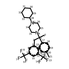 [CH2]C(Cc1cc(C(F)(F)F)cc(C(F)(F)F)c1)(c1ccc(C)cc1)N1CCN(C2CCCCC2)CC1